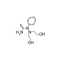 NC(=S)N(c1ccccc1)N(CCO)CCO